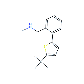 CNCc1ccccc1-c1ccc(C(C)(C)C)s1